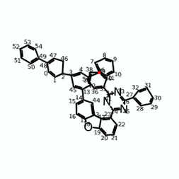 C1=CC(c2cc(-c3ccccc3)cc(-c3ccc4oc5cccc(-c6nc(-c7ccccc7)nc(-c7ccccc7)n6)c5c4c3)c2)CC=C1c1ccccc1